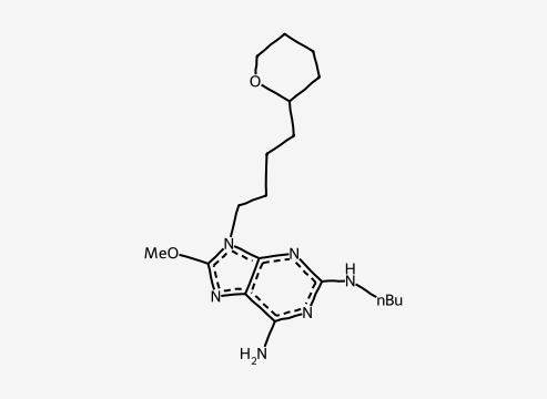 CCCCNc1nc(N)c2nc(OC)n(CCCCC3CCCCO3)c2n1